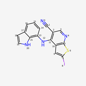 N#Cc1cnc2sc(I)cc2c1Nc1cccc2cc[nH]c12